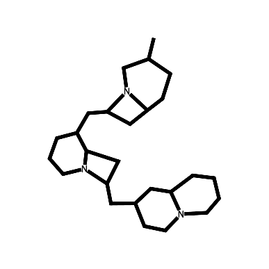 CC1CCC2CC(CC3CCCN4C(CC5CCN6CCCCC6C5)CC34)N2C1